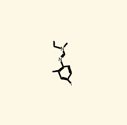 CCN(C)/C=N/c1ccc(I)cc1C